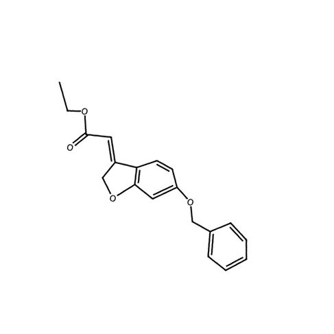 CCOC(=O)C=C1COc2cc(OCc3ccccc3)ccc21